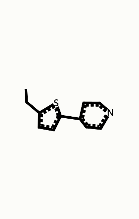 CCc1ccc(-c2ccncc2)s1